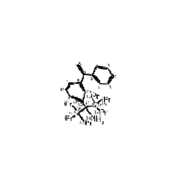 C=C(c1ccccc1)c1cccc(C(N)([Si](C(C)C)(C(C)C)C(C)C)[Si](C(C)C)(C(C)C)C(C)C)c1